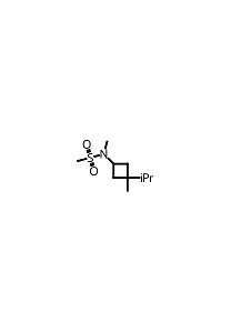 CC(C)C1(C)CC(N(C)S(C)(=O)=O)C1